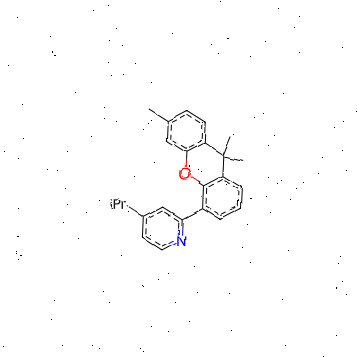 Cc1ccc2c(c1)Oc1c(-c3cc(C(C)C)ccn3)cccc1C2(C)C